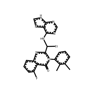 CCC(Nc1ncnc2[nH]cnc12)c1nc2cccc(F)c2c(=O)n1-c1cccc(C)c1C